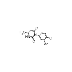 CC(=O)c1cc(-n2c(=O)cc(C(F)(F)F)[nH]c2=O)ccc1Cl